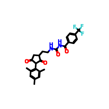 Cc1cc(C)c(C2C(=O)CC(CCNC(=O)NC(=O)c3ccc(C(F)(F)F)cc3)C2=O)c(C)c1